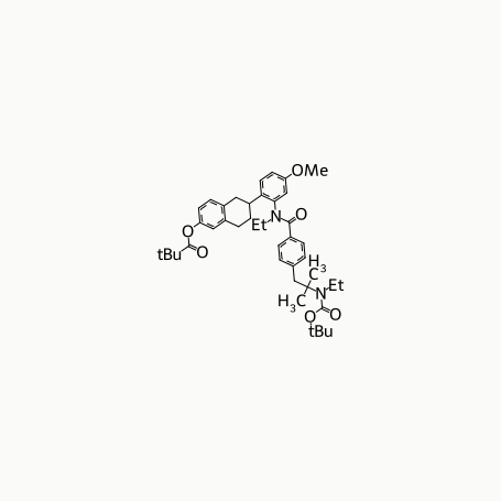 CCN(C(=O)c1ccc(CC(C)(C)N(CC)C(=O)OC(C)(C)C)cc1)c1cc(OC)ccc1C1CCc2cc(OC(=O)C(C)(C)C)ccc2C1